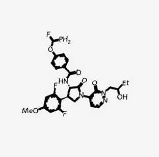 CCC(O)Cn1nccc(N2C[C@@H](c3c(F)cc(OC)cc3F)[C@H](NC(=O)c3ccc(OC(F)P)cc3)C2=O)c1=O